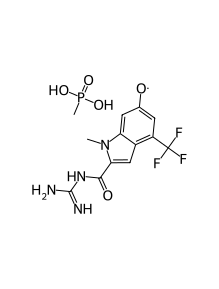 CP(=O)(O)O.Cn1c(C(=O)NC(=N)N)cc2c(C(F)(F)F)cc([O])cc21